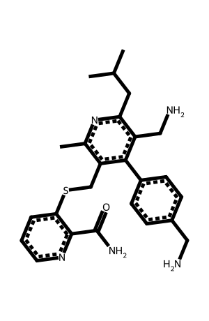 Cc1nc(CC(C)C)c(CN)c(-c2ccc(CN)cc2)c1CSc1cccnc1C(N)=O